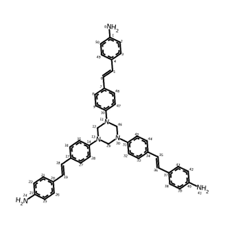 Nc1ccc(/C=C/c2ccc(N3CN(c4ccc(/C=C/c5ccc(N)cc5)cc4)CN(c4ccc(/C=C/c5ccc(N)cc5)cc4)C3)cc2)cc1